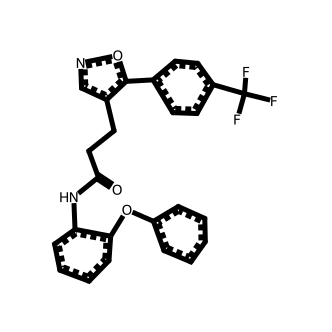 O=C(CCc1cnoc1-c1ccc(C(F)(F)F)cc1)Nc1ccccc1Oc1ccccc1